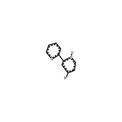 [O-][n+]1ccc(Br)cc1-c1ccccn1